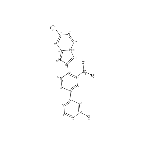 CC[S+]([O-])c1cc(-c2cccc(Cl)c2)cnc1-c1cn2cnc(C(F)(F)F)cc2n1